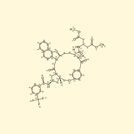 COC(=O)CC(CC(=O)OC)NC(=O)[C@@H]1CCC(=O)N(c2ccc3ccccc3c2)CC(=O)N2C[C@H](NC(=O)c3cccc(C(F)(F)F)c3)C[C@H]2COc2ccc(cc2)C(=O)N1C